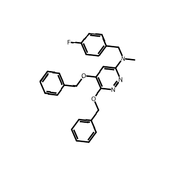 CN(Cc1ccc(F)cc1)c1cc(OCc2ccccc2)c(OCc2ccccc2)nn1